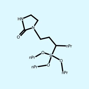 CCCO[Si](OCCC)(OCCC)C(CCC)CCN1CCNC1=O